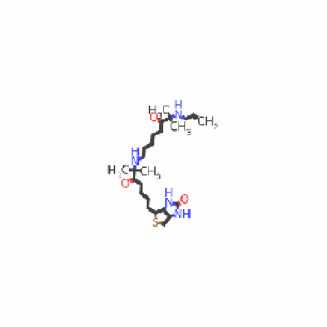 C=CCNC(C)(C)C(=O)CCCCCNC(C)(C)C(=O)CCCCC1SCC2NC(=O)NC21